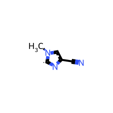 Cn1[c]nc(C#N)c1